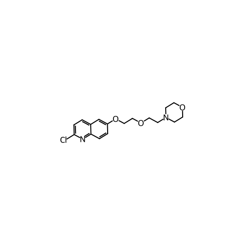 Clc1ccc2cc(OCCOCCN3CCOCC3)ccc2n1